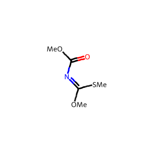 COC(=O)N=C(OC)SC